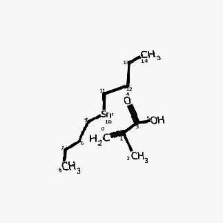 C=C(C)C(=O)O.CCC[CH2][Sn][CH2]CCC